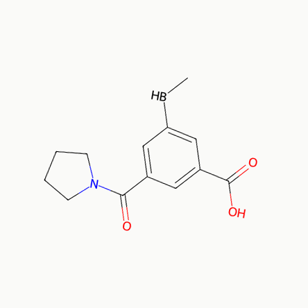 CBc1cc(C(=O)O)cc(C(=O)N2CCCC2)c1